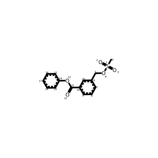 CS(=O)(=O)OCc1cccc(C(=O)Oc2ccccc2)c1